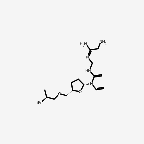 C=CN(C(=C)NC/N=C(/N)CN)[C@H]1CC[C@@H](COC[C@H](C)C(C)C)O1